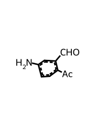 CC(=O)c1ccc(N)cc1C=O